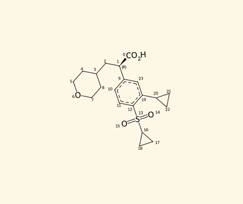 O=C(O)[C@H](CC1CCOCC1)c1ccc(S(=O)(=O)C2CC2)c(C2CC2)c1